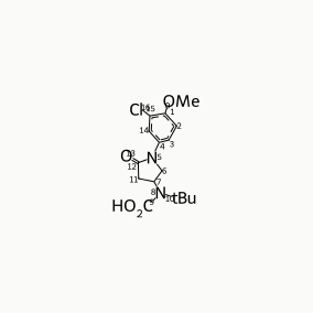 COc1ccc(N2CC(N(C(=O)O)C(C)(C)C)CC2=O)cc1Cl